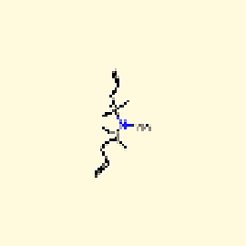 C=CC[Si](C)(C)N(CCC)[Si](C)(C)CC=C